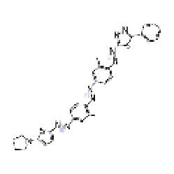 Cc1cc(/N=N/c2ccc(N3CCCC3)s2)ccc1/N=N/c1ccc(/N=N/c2nnc(-c3ccccc3)s2)c(C)c1